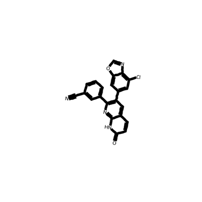 N#Cc1cccc(-c2nc3[nH]c(=O)ccc3cc2-c2cc(Cl)c3ncoc3c2)c1